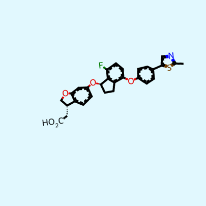 Cc1ncc(-c2ccc(Oc3ccc(F)c4c3CC[C@H]4Oc3ccc4c(c3)OC[C@H]4CC(=O)O)cc2)s1